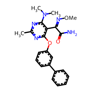 CON=C(C(N)=O)c1c(Oc2cccc(-c3ccccc3)c2)nc(C)nc1N(C)C